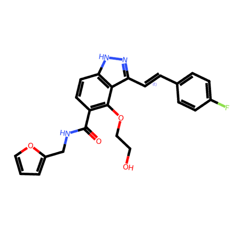 O=C(NCc1ccco1)c1ccc2[nH]nc(/C=C/c3ccc(F)cc3)c2c1OCCO